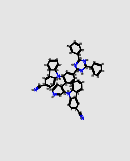 N#Cc1ccc2c(c1)c1ccccc1n2-c1cnccc1-c1ccc(-c2nc(-c3ccccc3)nc(-c3ccccc3)n2)cc1-n1c2ccccc2c2cc(C#N)ccc21